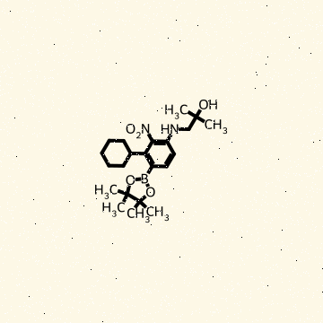 CC(C)(O)CNc1ccc(B2OC(C)(C)C(C)(C)O2)c(C2CCCCC2)c1[N+](=O)[O-]